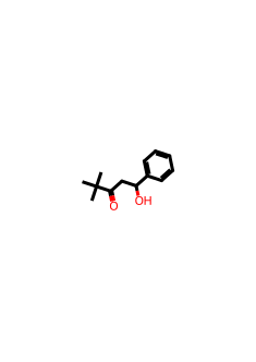 CC(C)(C)C(=O)CC(O)c1ccccc1